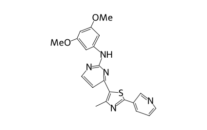 COc1cc(Nc2nccc(-c3sc(-c4cccnc4)nc3C)n2)cc(OC)c1